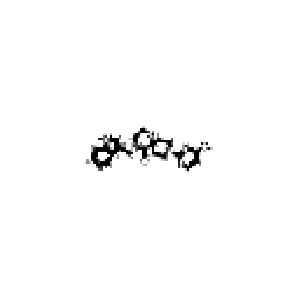 COc1ccnc(N2CCC3(CC2)OCCN(Cc2c[nH]c4ccccc24)C3=O)n1